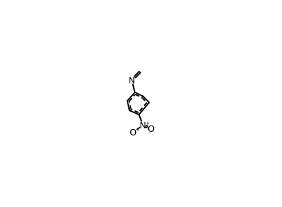 C=Nc1ccc([N+](=O)[O-])cc1